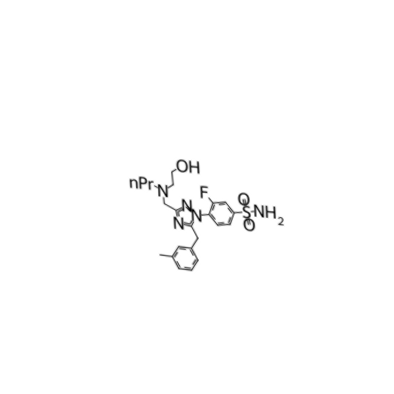 CCCN(CCO)Cc1nc(Cc2cccc(C)c2)n(-c2ccc(S(N)(=O)=O)cc2F)n1